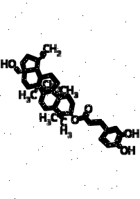 C=C[C@@H]1CC[C@]2(CO)CC[C@]3(C)C(CCC4[C@@]5(C)CC[C@H](OC(=O)/C=C/c6ccc(O)c(O)c6)C(C)(C)C5CC[C@]43C)C12